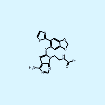 CCC(=O)NCCn1c(Sc2cc3c(cc2-c2nccs2)OCO3)nc2c(N)ncnc21